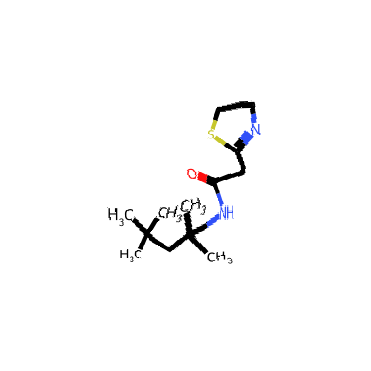 CC(C)(C)CC(C)(C)NC(=O)CC1=NCCS1